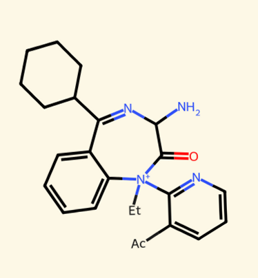 CC[N+]1(c2ncccc2C(C)=O)C(=O)C(N)N=C(C2CCCCC2)c2ccccc21